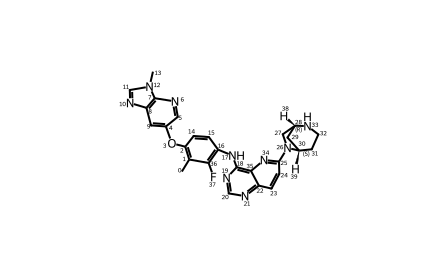 Cc1c(Oc2cnc3c(c2)ncn3C)ccc(Nc2ncnc3ccc(N4C[C@H]5C[C@@H]4CCN5)nc23)c1F